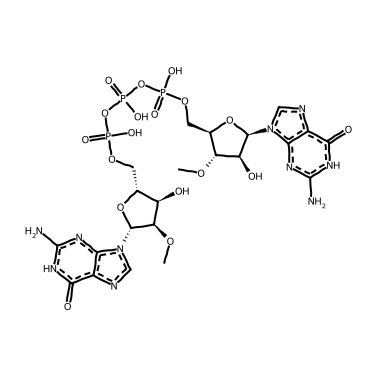 CO[C@@H]1[C@H](O)[C@@H](COP(=O)(O)OP(=O)(O)OP(=O)(O)OC[C@H]2O[C@@H](n3cnc4c(=O)[nH]c(N)nc43)[C@@H](O)[C@@H]2OC)O[C@H]1n1cnc2c(=O)[nH]c(N)nc21